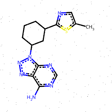 Cc1cnc(C2CCCC(n3nnc4c(N)ncnc43)C2)s1